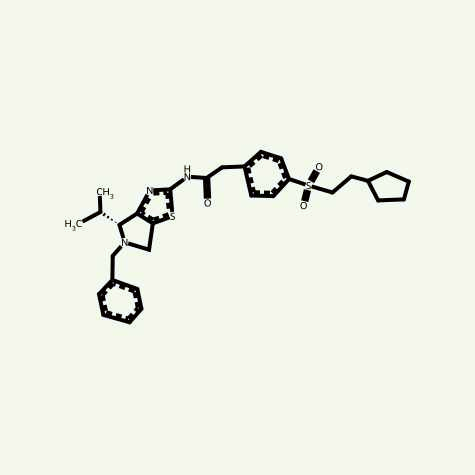 CC(C)[C@@H]1c2nc(NC(=O)Cc3ccc(S(=O)(=O)CCC4CCCC4)cc3)sc2CN1Cc1ccccc1